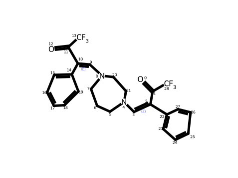 O=C(/C(=C\N1CCCN(/C=C(/C(=O)C(F)(F)F)c2ccccc2)CC1)c1ccccc1)C(F)(F)F